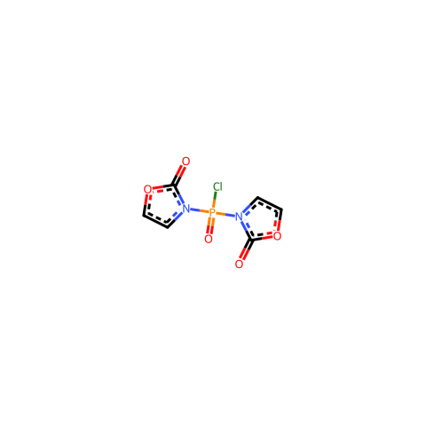 O=c1occn1P(=O)(Cl)n1ccoc1=O